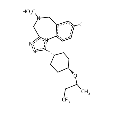 CC(CC(F)(F)F)O[C@H]1CC[C@H](c2nnc3n2-c2ccc(Cl)cc2CN(C(=O)O)C3)CC1